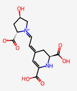 O=C(O)C1=C/C(=C/C=[N+]2/C[C@H](O)C[C@H]2C(=O)[O-])C[C@@H](C(=O)O)N1